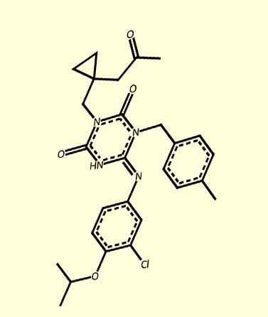 CC(=O)CC1(Cn2c(=O)[nH]/c(=N\c3ccc(OC(C)C)c(Cl)c3)n(Cc3ccc(C)cc3)c2=O)CC1